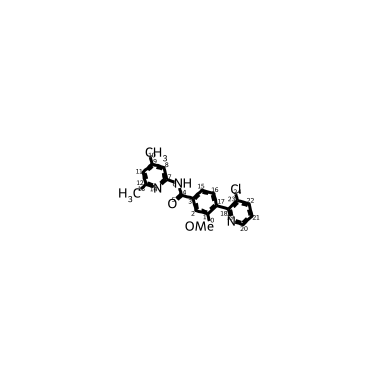 COc1cc(C(=O)Nc2cc(C)cc(C)n2)ccc1-c1ncccc1Cl